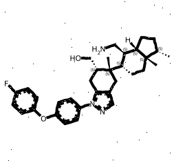 C[C@H]1CC[C@H]2[C@H](CN)[C@@H]([C@]3(C)Cc4cnn(-c5ccc(Oc6ccc(F)cc6)cc5)c4C[C@@H]3CO)CC[C@@]12C